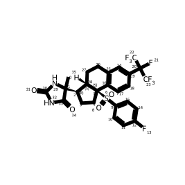 CC1([C@@H]2CC[C@@]3(S(=O)(=O)c4ccc(F)cc4)c4ccc(C(F)(C(F)(F)F)C(F)(F)F)cc4CC[C@@H]23)NC(=O)NC1=O